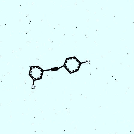 CCc1ccc(C#Cc2c[c]cc(CC)c2)cc1